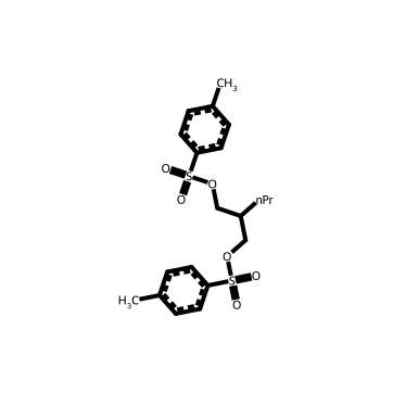 CCCC(COS(=O)(=O)c1ccc(C)cc1)COS(=O)(=O)c1ccc(C)cc1